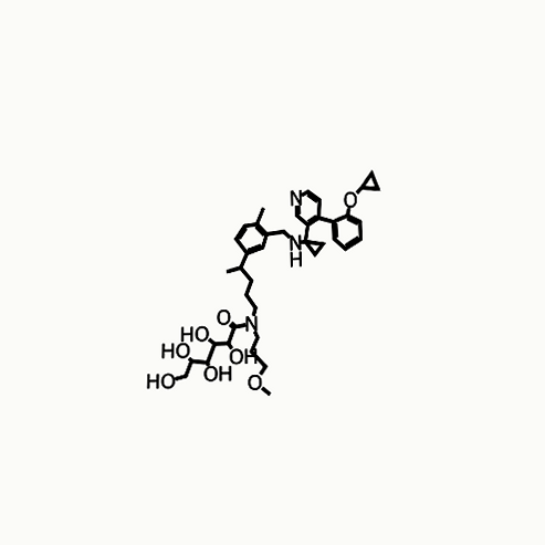 COCCCN(CCCC(C)c1ccc(C)c(CNC2(c3cnccc3-c3ccccc3OC3CC3)CC2)c1)C(=O)C(O)C(O)C(O)C(O)CO